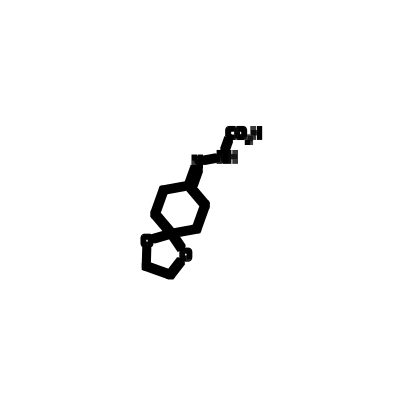 O=C(O)NN=C1CCC2(CC1)OCCO2